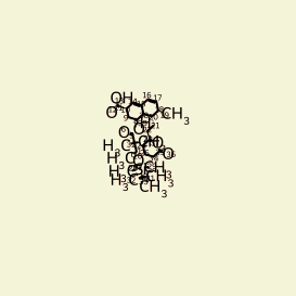 CCC(C)(C)C(=O)O[C@H]1C[C@@H](C(=O)O)C=C2C=C[C@H](C)[C@H](CC[C@@H]3C[C@@H](O[Si](C)(C)C(C)(C)C)CC(=O)O3)[C@H]21